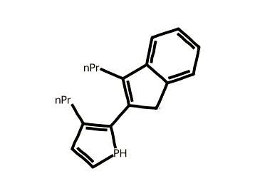 CCCC1=C(c2[pH]ccc2CCC)[CH]c2ccccc21